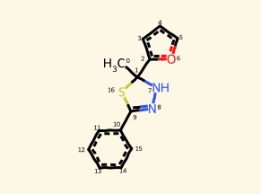 CC1(c2ccco2)NN=C(c2ccccc2)S1